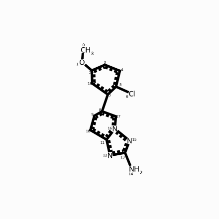 COc1ccc(Cl)c(-c2ccc3nc(N)nn3c2)c1